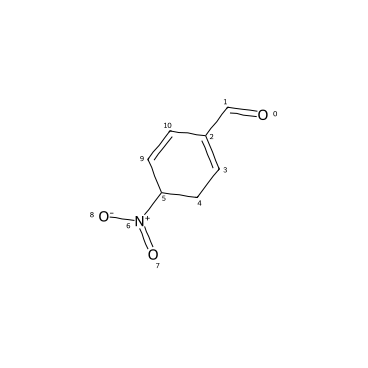 O=CC1=CCC([N+](=O)[O-])C=C1